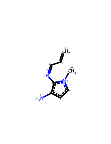 C=C/C=N\c1c(N)ccn1C